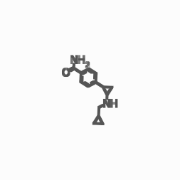 NC(=O)c1ccc(C2CC2NCC2CC2)cc1